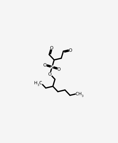 CCCCC(CC)COS(=O)(=O)C(C=O)CC=O